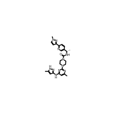 Cc1cc(Nc2cc(C)[nH]n2)nc(N2CCN(C(=O)N[C@@H](C)c3ccc(-c4ccn(C)n4)nc3)CC2)n1